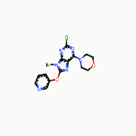 CCn1c(Oc2cccnc2)nc2c(N3CCOCC3)nc(Cl)nc21